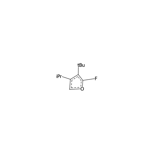 CC(C)c1coc(F)c1C(C)(C)C